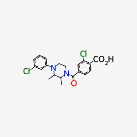 CC1C(C)N(c2cccc(Cl)c2)CCN1C(=O)c1ccc(C(=O)O)c(Cl)c1